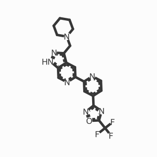 FC(F)(F)c1nc(-c2ccnc(-c3cc4c(CN5CCCCC5)n[nH]c4cn3)c2)no1